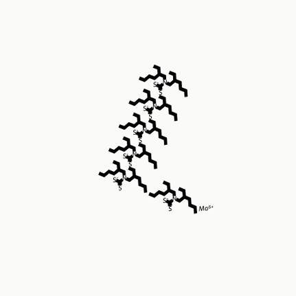 CCCCC(CC)CN(CC(CC)CCCC)C(=S)[S-].CCCCC(CC)CN(CC(CC)CCCC)C(=S)[S-].CCCCC(CC)CN(CC(CC)CCCC)C(=S)[S-].CCCCC(CC)CN(CC(CC)CCCC)C(=S)[S-].CCCCC(CC)CN(CC(CC)CCCC)C(=S)[S-].CCCCC(CC)CN(CC(CC)CCCC)C(=S)[S-].[Mo+6]